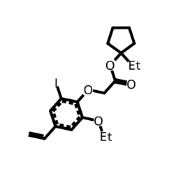 C=Cc1cc(I)c(OCC(=O)OC2(CC)CCCC2)c(OCC)c1